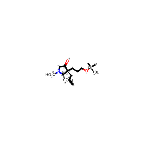 C=CC[C@]1(CCCO[Si](C)(C)C(C)(C)C)C(=O)CN(C(=O)O)[C@@H]1C(=O)O